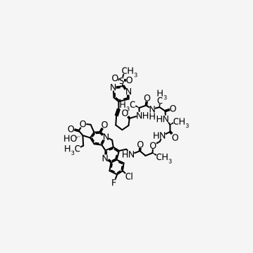 CC[C@@]1(O)C(=O)OCc2c1cc1n(c2=O)Cc2c-1nc1cc(F)c(Cl)cc1c2CNC(=O)C[C@H](C)OCNC(=O)[C@H](C)NC(=O)[C@H](C)NC(=O)[C@H](C)NC(=O)CCCC#Cc1cnc(S(C)(=O)=O)nc1